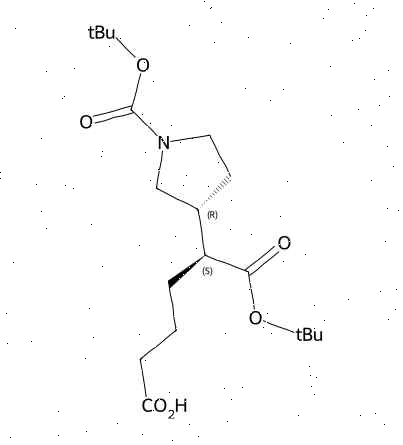 CC(C)(C)OC(=O)[C@@H](CCCC(=O)O)[C@H]1CCN(C(=O)OC(C)(C)C)C1